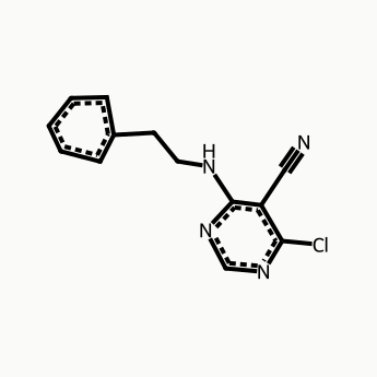 N#Cc1c(Cl)ncnc1NCCc1ccccc1